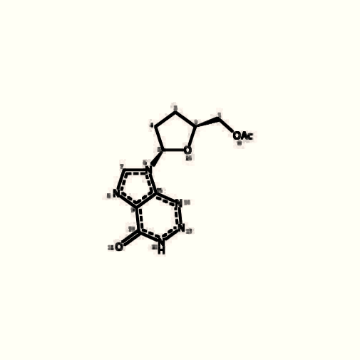 CC(=O)OC[C@@H]1CC[C@H](n2cnc3c(=O)[nH]nnc32)O1